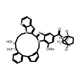 COc1cc(C(=O)N2C[C@H]3CC[C@@H]2[C@@H]3N)cc2nc3n(c12)Cc1cccc(c1)-c1ccccc1[C@H](O)[C@H](O)CCn1c-3cc2cccnc21